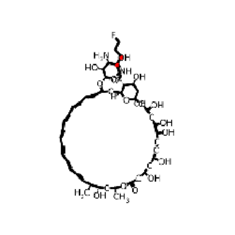 C[C@H]1C[C@H](O)[C@@H](C)/C=C/C=C/C=C/C=C/C=C/C=C/C=C/C(O[C@@H]2OC[C@@H](O)[C@H](N)[C@@H]2O)C[C@@H]2OC(O)(CC(O)CC(O)C(O)CCC(O)CC(O)CC(=O)O1)C[C@H](O)[C@H]2C(=O)NCCCCF